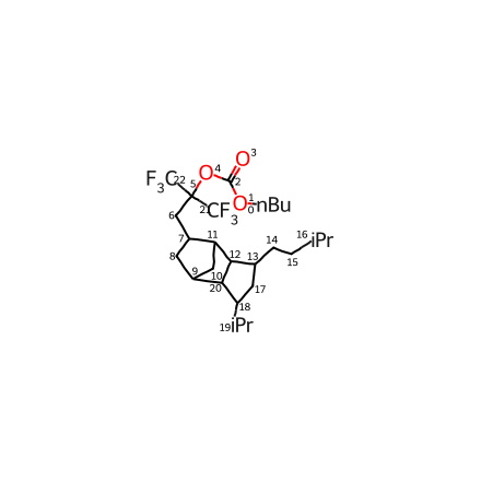 CCCCOC(=O)OC(CC1CC2CC1C1C(CCC(C)C)CC(C(C)C)C21)(C(F)(F)F)C(F)(F)F